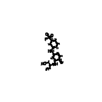 CC(C)[C@@H](CO)Nc1nc(Nc2cccc(S(=O)(=O)F)c2)ncc1Br